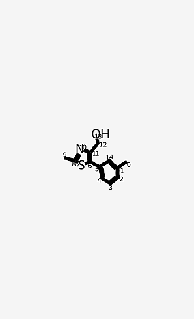 Cc1cccc(-c2sc(C)nc2CO)c1